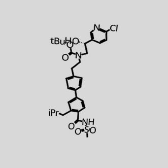 CC(C)Cc1cc(-c2ccc(CCN(C[C@H](O)c3ccc(Cl)nc3)C(=O)OC(C)(C)C)cc2)ccc1C(=O)NS(C)(=O)=O